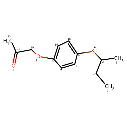 CCC(C)Sc1ccc(OCC(C)=O)cc1